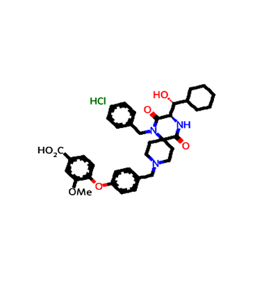 COc1cc(C(=O)O)ccc1Oc1ccc(CN2CCC3(CC2)C(=O)N[C@H]([C@H](O)C2CCCCC2)C(=O)N3Cc2ccccc2)cc1.Cl